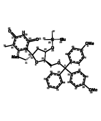 COc1ccc(C(OC[C@H]2O[C@@](CSC)(n3cc(C)c(=O)[nH]c3=O)CC2O[Si](C)(C)C(C)(C)C)(c2ccccc2)c2ccc(OC)cc2)cc1